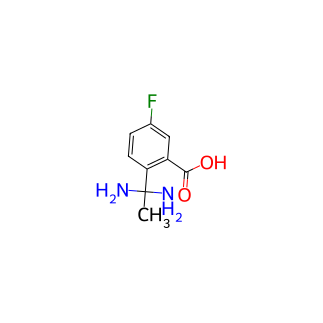 CC(N)(N)c1ccc(F)cc1C(=O)O